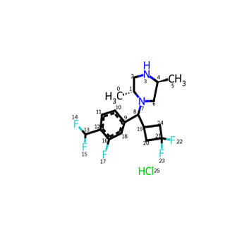 C[C@@H]1CN[C@@H](C)CN1C(c1ccc(C(F)F)c(F)c1)C1CC(F)(F)C1.Cl